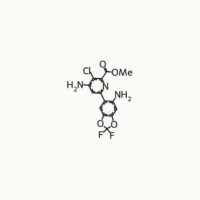 COC(=O)c1nc(-c2cc3c(cc2N)OC(F)(F)O3)cc(N)c1Cl